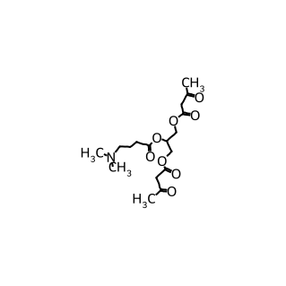 CC(=O)CC(=O)OCC(COC(=O)CC(C)=O)OC(=O)CCCN(C)C